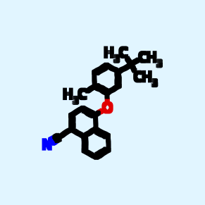 Cc1ccc(C(C)(C)C)cc1Oc1ccc(C#N)c2ccccc12